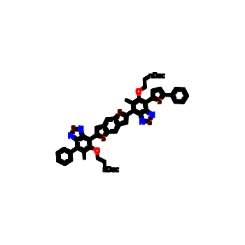 CCCCCCCCCCCCOc1c(C)c(-c2ccccc2)c2nsnc2c1-c1cc2cc3sc(-c4c(C)c(OCCCCCCCCCCCC)c(-c5ccc(-c6ccccc6)s5)c5nsnc45)cc3cc2s1